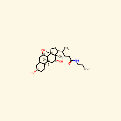 CCCCCCCCCCCCNC(=O)CCC(C)[C@H]1CC[C@H]2C3[C@H](O)CC4C[C@H](O)CC[C@]4(C)[C@H]3C[C@H](O)C12C